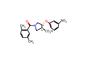 Cc1ccc(C)c(C(=O)N2C[C@H](Oc3cccc([N+](=O)[O-])c3)[C@@H](C(=O)O)C2)c1